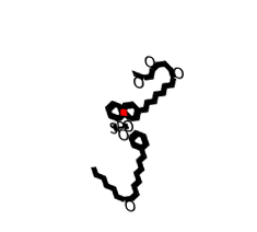 CCCCCCC1OC1CCCCCCCc1cccc(OP(=S)(Oc2cccc(CCCCCCCC3OC3CC3OC3CC3CO3)c2)c2ccccc2)c1